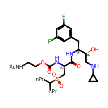 CCCC(CCC)S(=O)(=O)C[C@@H](NC(=O)OCCNC(C)=O)C(=O)N[C@@H](Cc1cc(F)cc(F)c1)[C@H](O)CNC1CC1